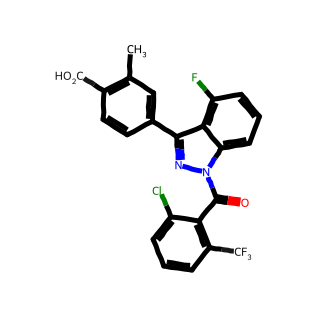 Cc1cc(-c2nn(C(=O)c3c(Cl)cccc3C(F)(F)F)c3cccc(F)c23)ccc1C(=O)O